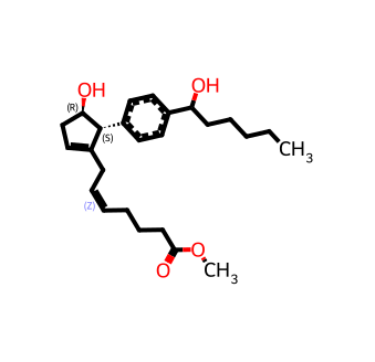 CCCCCC(O)c1ccc([C@@H]2C(C/C=C\CCCC(=O)OC)=CC[C@H]2O)cc1